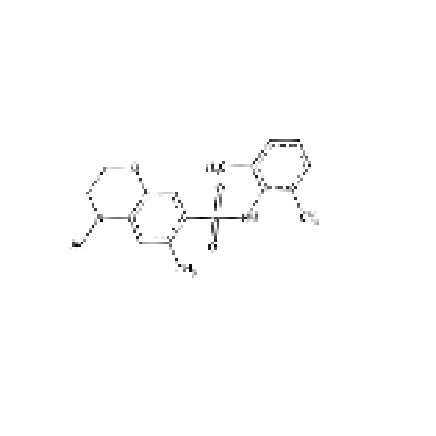 CC(=O)N1CCOc2cc(S(=O)(=O)Nc3c(C)cccc3C)c(C)cc21